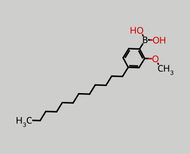 CCCCCCCCCCCCc1ccc(B(O)O)c(OC)c1